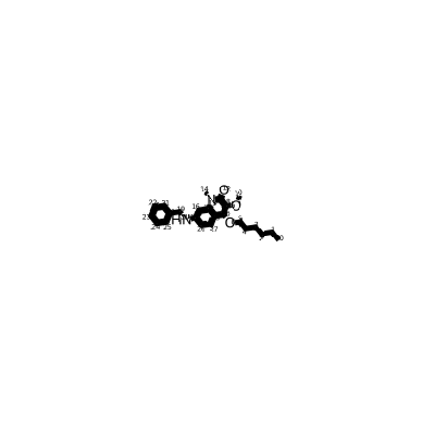 CCCCCCOc1c(OC)c(=O)n(C)c2cc(NCc3ccccc3)ccc12